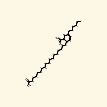 CCCCCCC1C=CC(CCCCCCCCCCCCCCCCCC(=O)O)C(C(=O)O)C1